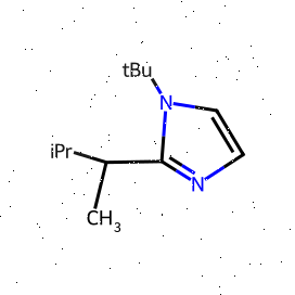 CC(C)C(C)c1nccn1C(C)(C)C